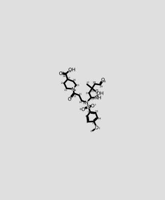 COc1ccc(S(=O)(=O)N(CCC(=O)N2CCC(C(=O)O)CC2)C(CC(C)(C)CC=O)NO)cc1